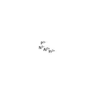 [Al+3].[In+3].[N-3].[P-3]